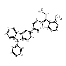 Bc1cccc2oc(/C=C\C(=C)c3ccc4c(c3)c3ccccc3n4-c3ccccc3)c(CO)c12